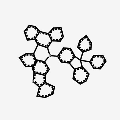 c1ccc(-c2c(N(c3ccc4c(c3)-c3ccccc3C4(c3ccccc3)c3ccccc3)c3ccc4sc5ccccc5c4c3)c3ccccc3c3ccccc23)cc1